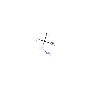 CCC(C)(C)BN